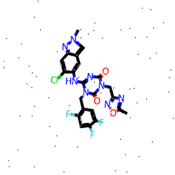 Cc1nc(Cn2c(=O)nc(Nc3cc4cn(C)nc4cc3Cl)n(Cc3cc(F)c(F)cc3F)c2=O)no1